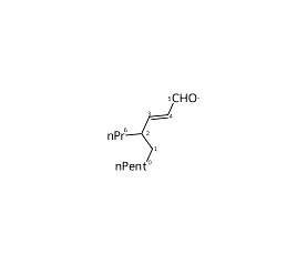 CCCCCCC(/C=C/[C]=O)CCC